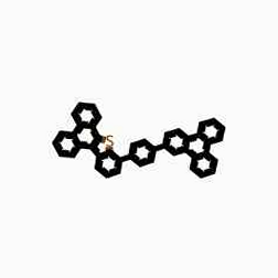 c1ccc2c(c1)c1ccccc1c1cc(-c3ccc(-c4cccc5c4sc4c6ccccc6c6ccccc6c54)cc3)ccc21